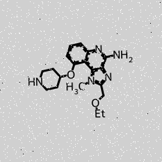 CCOCc1nc2c(N)nc3cccc(OC4CCNCC4)c3c2n1C